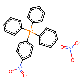 O=[N+]([O-])[O-].O=[N+]([O-])c1ccc([P+](c2ccccc2)(c2ccccc2)c2ccccc2)cc1